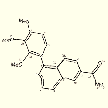 COc1ccc(-c2cccc3cc(C(N)=O)ccc23)c(OC)c1OC